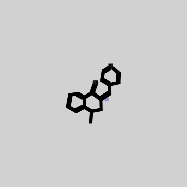 CC1C/C(=C/c2ccncc2)C(=O)c2ccccc21